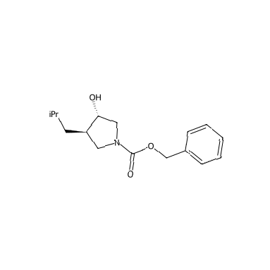 CC(C)C[C@@H]1CN(C(=O)OCc2ccccc2)C[C@H]1O